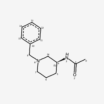 CC(=O)N[C@H]1CCCN(Cc2ccccc2)C1